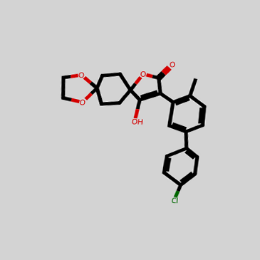 Cc1ccc(-c2ccc(Cl)cc2)cc1C1=C(O)C2(CCC3(CC2)OCCO3)OC1=O